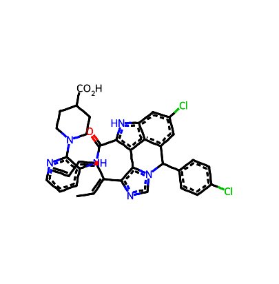 C=C/C=C\C(=C/C)c1ncn2c1-c1c(C(=O)Nc3cccnc3N3CCC(C(=O)O)CC3)[nH]c3cc(Cl)cc(c13)C2c1ccc(Cl)cc1